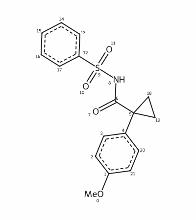 COc1ccc(C2(C(=O)NS(=O)(=O)c3ccccc3)CC2)cc1